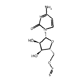 Nc1ccn([C@@H]2O[C@H](COP=S)[C@@H](O)[C@H]2O)c(=O)n1